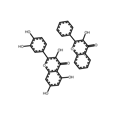 O=c1c(O)c(-c2ccc(O)c(O)c2)oc2cc(O)cc(O)c12.O=c1c(O)c(-c2ccccc2)oc2ccccc12